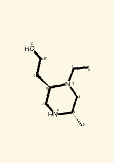 CCN1C[C@H](C)NC[C@H]1CCO